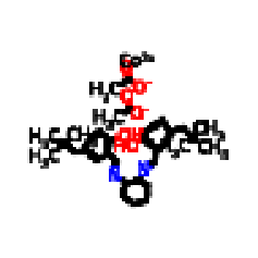 CC(=O)[O-].CC(=O)[O-].CC(C)(C)Cc1ccc(O)c(C=NC2CCCCC2N=Cc2cc(CC(C)(C)C)ccc2O)c1.[Co+2]